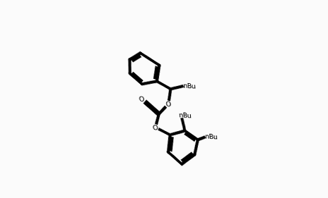 CCCCc1cccc(OC(=O)OC(CCCC)c2ccccc2)c1CCCC